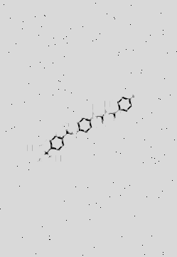 Cc1ccc(C(=O)NC(=S)Nc2ccc(NC(=O)c3ccc(C(C)(C)C)cc3)cc2)cc1